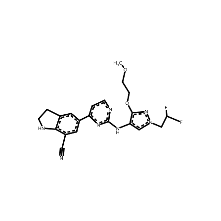 COCCOc1nn(CC(F)F)cc1Nc1nccc(-c2cc(C#N)c3c(c2)CCN3)n1